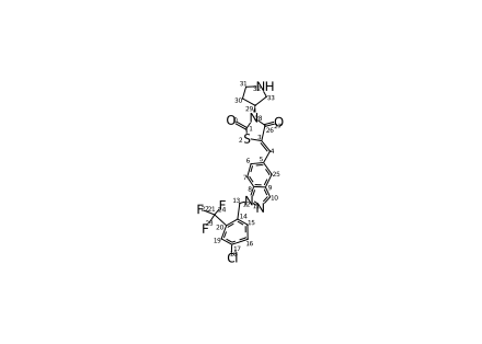 O=C1S/C(=C\c2ccc3c(cnn3Cc3ccc(Cl)cc3C(F)(F)F)c2)C(=O)N1[C@H]1CCNC1